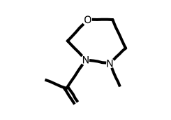 C=C(C)N1COCCN1C